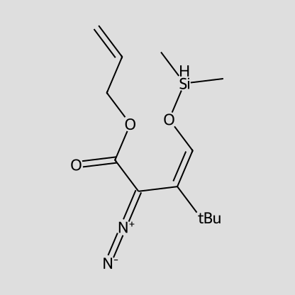 C=CCOC(=O)C(=[N+]=[N-])C(=CO[SiH](C)C)C(C)(C)C